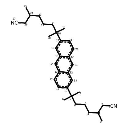 CC(CC#N)CCCC(C)(C)c1ccc2cc3cc(C(C)(C)CCCC(C)CC#N)ccc3cc2c1